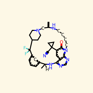 C=C1CN2CCC(CC2)C(F)(F)c2cccc(c2)[C@@H](C)Nc2ncnc3c2cc(C2(C#N)CC2)c(=O)n3CCCCN1